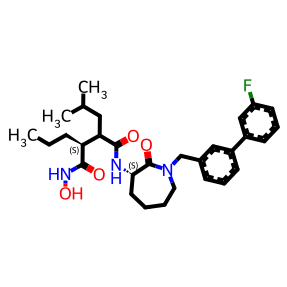 CCC[C@H](C(=O)NO)C(CC(C)C)C(=O)N[C@H]1CCCCN(Cc2cccc(-c3cccc(F)c3)c2)C1=O